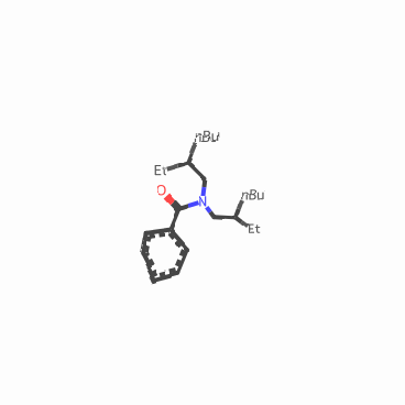 CCCCC(CC)CN(CC(CC)CCCC)C(=O)c1ccccc1